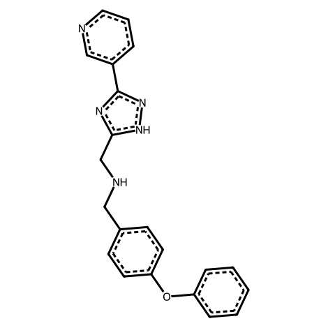 c1ccc(Oc2ccc(CNCc3nc(-c4cccnc4)n[nH]3)cc2)cc1